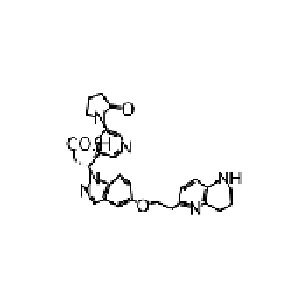 O=C(O)C[C@H](c1cncc(N2CCCC2=O)c1)n1ncc2cc(OCCc3ccc4c(n3)CCCN4)ccc21